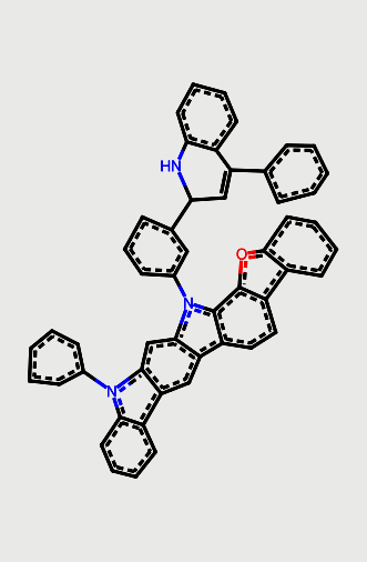 C1=C(c2ccccc2)c2ccccc2NC1c1cccc(-n2c3cc4c(cc3c3ccc5c6ccccc6oc5c32)c2ccccc2n4-c2ccccc2)c1